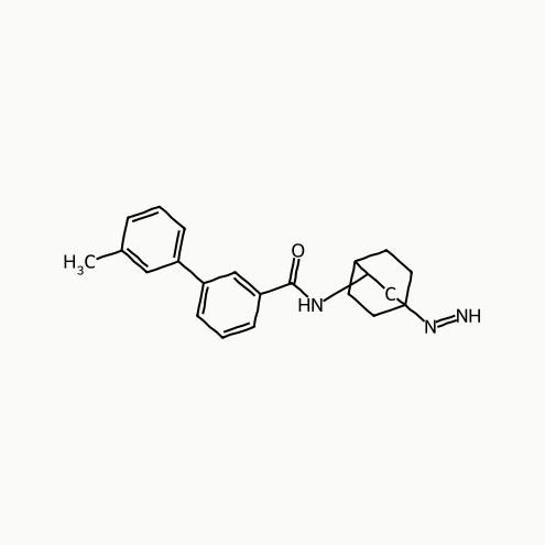 Cc1cccc(-c2cccc(C(=O)NC3CC4(N=N)CCC3CC4)c2)c1